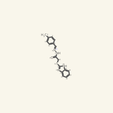 Cc1ccc(/C=N/NC(=O)CSc2nc3ccccc3[nH]2)cc1